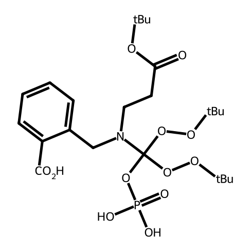 CC(C)(C)OOC(OOC(C)(C)C)(OP(=O)(O)O)N(CCC(=O)OC(C)(C)C)Cc1ccccc1C(=O)O